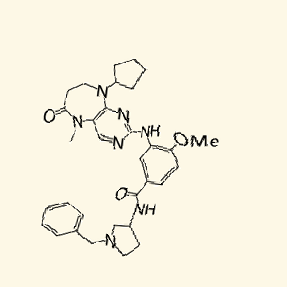 COc1ccc(C(=O)NC2CCN(Cc3ccccc3)C2)cc1Nc1ncc2c(n1)N(C1CCCC1)CCC(=O)N2C